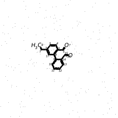 CCc1ccc(C=O)c(-c2ccccc2C=O)c1